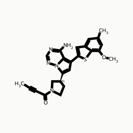 CC#CC(=O)N1CC[C@H](c2cc(-c3cc4cc(C)cc(OC)c4s3)c3c(N)ncnn23)C1